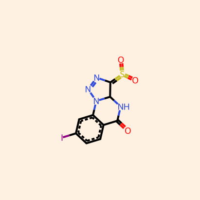 O=C1NC2C(=S(=O)=O)N=NN2c2cc(I)ccc21